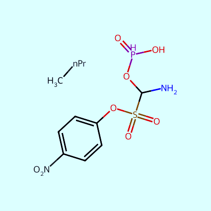 CCCC.NC(O[PH](=O)O)S(=O)(=O)Oc1ccc([N+](=O)[O-])cc1